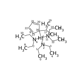 CC[N](CC)[Hf]([N](CC)CC)([N](CC)CC)[C]1(C(C)C)C=CC=C1